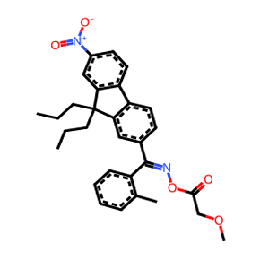 CCCC1(CCC)c2cc(/C(=N/OC(=O)COC)c3ccccc3C)ccc2-c2ccc([N+](=O)[O-])cc21